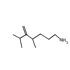 C=C(C(C)C)C(C)CCCN